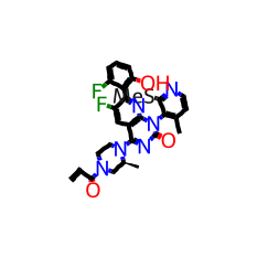 C=CC(=O)N1CCN(c2nc(=O)n(-c3c(C)ccnc3SC)c3nc(-c4c(O)cccc4F)c(F)cc23)[C@@H](C)C1